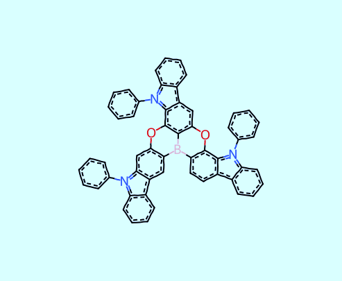 c1ccc(-n2c3ccccc3c3cc4c(cc32)Oc2c3c(cc5c6ccccc6n(-c6ccccc6)c25)Oc2c(ccc5c6ccccc6n(-c6ccccc6)c25)B43)cc1